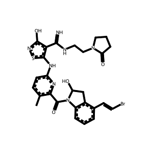 Cc1ccc(Nc2snc(O)c2C(=N)NCCN2CCCC2=O)nc1C(=O)N1c2cccc(/C=C/Br)c2CC1O